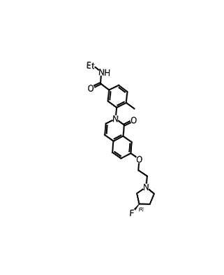 CCNC(=O)c1ccc(C)c(-n2ccc3ccc(OCCN4CC[C@@H](F)C4)cc3c2=O)c1